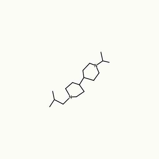 CC(C)CN1CCC(C2CCN(C(C)C)CC2)CC1